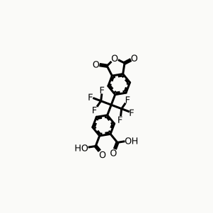 O=C(O)c1ccc(C(c2ccc3c(c2)C(=O)OC3=O)(C(F)(F)F)C(F)(F)F)cc1C(=O)O